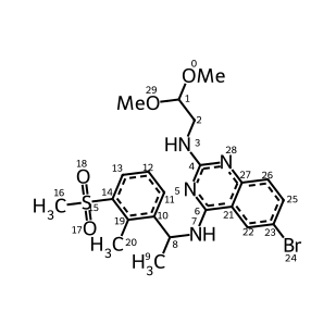 COC(CNc1nc(NC(C)c2cccc(S(C)(=O)=O)c2C)c2cc(Br)ccc2n1)OC